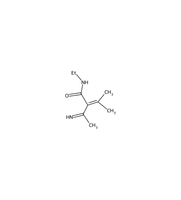 CCNC(=O)C(C(C)=N)=C(C)C